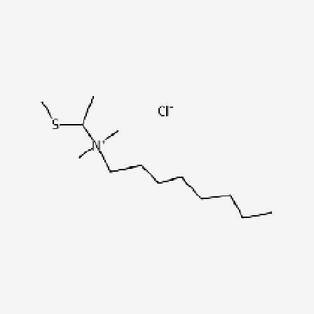 CCCCCCCC[N+](C)(C)C(C)SC.[Cl-]